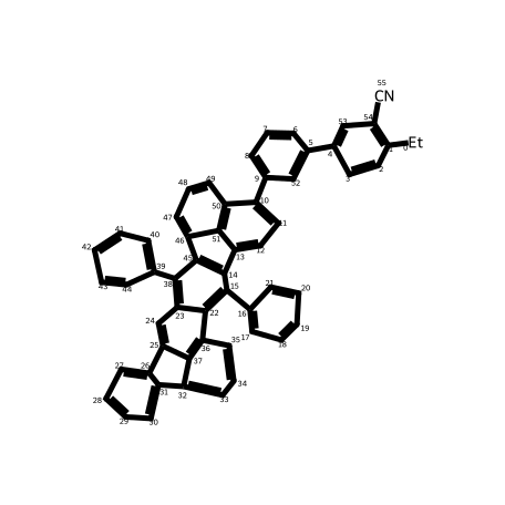 CCc1ccc(-c2cccc(-c3ccc4c5c(-c6ccccc6)c6c(cc7c8ccccc8c8cccc6c87)c(-c6ccccc6)c5c5cccc3c54)c2)cc1C#N